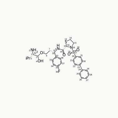 CC(C)[C@H](N)C(O)OCC[C@H](NC(=O)[C@@H]1SCCN1S(=O)(=O)c1ccc(-c2ccccc2)cc1)c1ccc(F)cc1